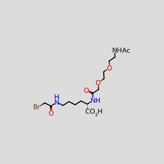 CC(=O)NCCOCCOCC(=O)N[C@@H](CCCCNC(=O)CBr)C(=O)O